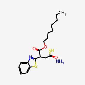 CCCCCCCCOC(=O)C(CC(=O)S)c1nc2ccccc2s1.N